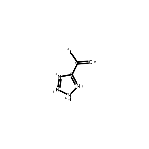 O=C(I)c1nn[nH]n1